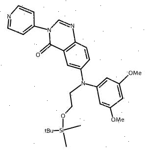 COc1cc(OC)cc(N(CCO[Si](C)(C)C(C)(C)C)c2ccc3ncn(-c4ccncc4)c(=O)c3c2)c1